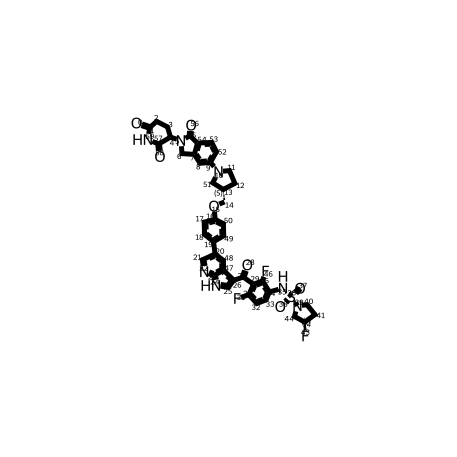 O=C1CCC(N2Cc3cc(N4CC[C@H](COc5ccc(-c6cnc7[nH]cc(C(=O)c8c(F)ccc(NS(=O)(=O)N9CC[C@@H](F)C9)c8F)c7c6)cc5)C4)ccc3C2=O)C(=O)N1